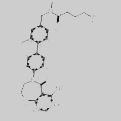 CN(Cc1ccc(-c2ccc(N3CCOc4ncnc(N)c4C3=O)cc2)c(Cl)c1)C(=O)CCCN